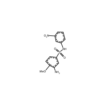 COc1ccc(S(=O)(=O)Nc2cccc([N+](=O)[O-])c2)cc1N